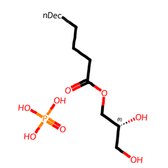 CCCCCCCCCCCCCC(=O)OC[C@H](O)CO.O=P(O)(O)O